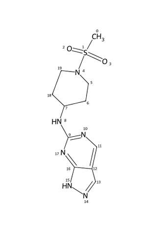 CS(=O)(=O)N1CCC(Nc2ncc3cn[nH]c3n2)CC1